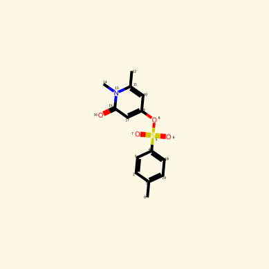 Cc1ccc(S(=O)(=O)Oc2cc(C)n(C)c(=O)c2)cc1